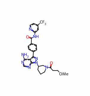 COCCC(=O)N1CCCC(n2nc(-c3ccc(C(=O)Nc4cc(C(F)(F)F)ccn4)cc3)c3c(N)ncnc32)C1